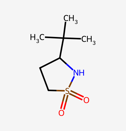 CC(C)(C)C1CCS(=O)(=O)N1